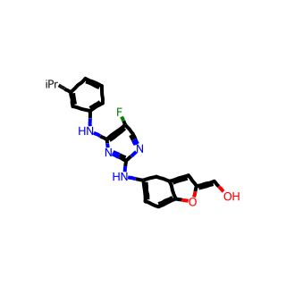 CC(C)c1cccc(Nc2nc(NC3=CC=c4oc(=CO)cc4C3)ncc2F)c1